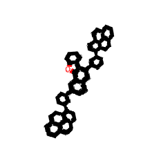 c1cc(-c2ccc3cc(-c4cccc(-c5ccc6ccc7cccc8ccc5c6c78)c4)c4c5ccccc5oc4c3c2)cc(-c2ccc3ccc4cccc5ccc2c3c45)c1